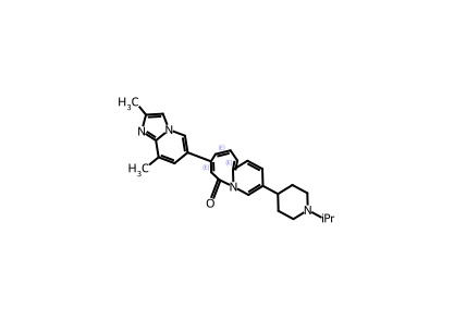 Cc1cn2cc(C3=C\C(=O)N4C=C(C5CCN(C(C)C)CC5)C=C\C4=C/C=C/3)cc(C)c2n1